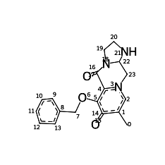 Cc1cn2c(c(OCc3ccccc3)c1=O)C(=O)N1CCNC1C2